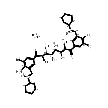 CCN(Cc1cc(C(=O)C(O)[C@@H](O)[C@@H](O)[C@H](O)[C@H](O)C(O)C(=O)c2cc(Br)c(N)c(CN(CC)C3CCCCC3)c2)cc(Br)c1N)C1CCCCC1.Cl.Cl